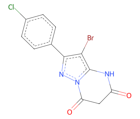 O=C1CC(=O)n2nc(-c3ccc(Cl)cc3)c(Br)c2N1